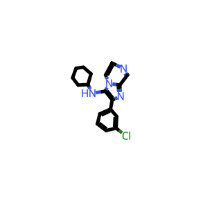 Clc1cccc(-c2nc3cnccn3c2NC2CCCCC2)c1